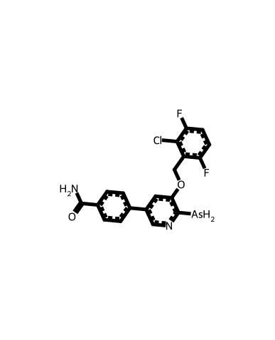 NC(=O)c1ccc(-c2cnc([AsH2])c(OCc3c(F)ccc(F)c3Cl)c2)cc1